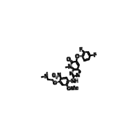 COc1cc(OCCN(C)C)c([N+](=O)[O-])cc1Nc1ncc2cc(Oc3ccc(F)cc3F)c(=O)n(C)c2n1